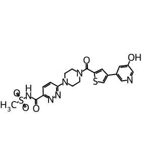 CS(=O)(=O)NC(=O)c1ccc(N2CCN(C(=O)c3cc(-c4cncc(O)c4)cs3)CC2)nn1